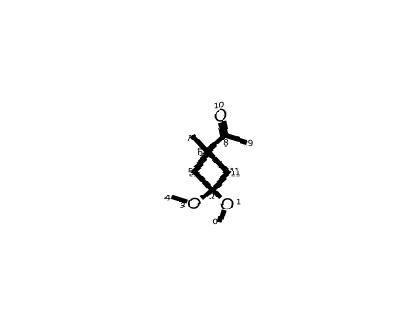 COC1(OC)CC(C)(C(C)=O)C1